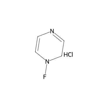 Cl.FN1C=CN=CC1